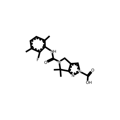 Cc1ccc(C)c(NC(=O)N2Cc3cn(C(=O)O)nc3C2(C)C)c1F